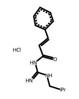 CC(C)CNC(=N)NC(=O)C=Cc1ccccc1.Cl